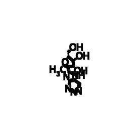 CC1(c2nc3nnncc3[nH]2)O[C@H](CO)[C@@H](O)[C@H]1O